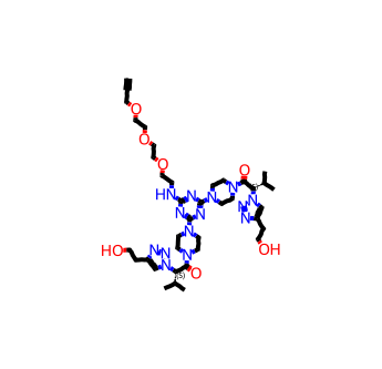 C#CCOCCOCCOCCNc1nc(N2CCN(C(=O)[C@H](C(C)C)n3cc(CCO)nn3)CC2)nc(N2CCN(C(=O)[C@H](C(C)C)n3cc(CCO)nn3)CC2)n1